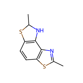 Cc1nc2c3c(ccc2s1)SC(C)N3